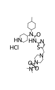 CC1CCC(N(C(=O)Nc2ncc(CN3CCN(S(=O)(=O)N(C)C)CC3)s2)C2CCNCC2)CC1.Cl